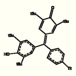 CCc1ccc(C(=C2C=C(C(C)(C)C)C(=O)C(C(C)(C)C)=C2)c2cc(C(C)(C)C)c(O)c(C(C)(C)C)c2)cc1